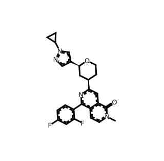 Cn1ccc2c(-c3ccc(F)cc3F)nc([C@@H]3CCO[C@H](c4cnn(C5CC5)c4)C3)cc2c1=O